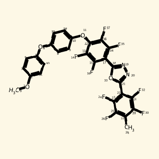 COc1ccc(Oc2ccc(Oc3c(F)c(F)c(-c4nnc(-c5c(F)c(F)c(C)c(F)c5F)o4)c(F)c3F)cc2)cc1